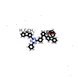 CC1(C)c2ccccc2-c2cc(-c3nc(-c4ccccc4)nc(-c4cccc(-c5cccc6c5-c5ccc7c(c5[Si]6(C)C)C5(c6ccccc6-7)C6CC7CC(C6)CC5C7)c4)n3)ccc21